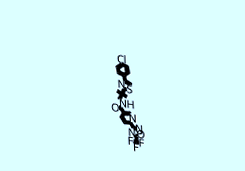 CC(C)(CNC(=O)c1ccc(-c2noc(C(F)(F)F)n2)nc1)c1nc(-c2ccc(Cl)cc2)cs1